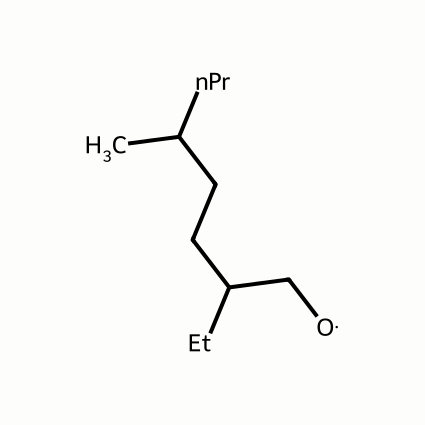 CCCC(C)CCC(CC)C[O]